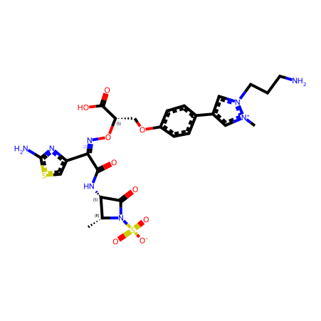 C[C@@H]1[C@H](NC(=O)/C(=N\O[C@@H](COc2ccc(-c3cn(CCCN)[n+](C)c3)cc2)C(=O)O)c2csc(N)n2)C(=O)N1S(=O)(=O)[O-]